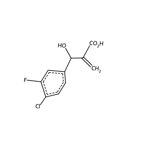 C=C(C(=O)O)C(O)c1ccc(Cl)c(F)c1